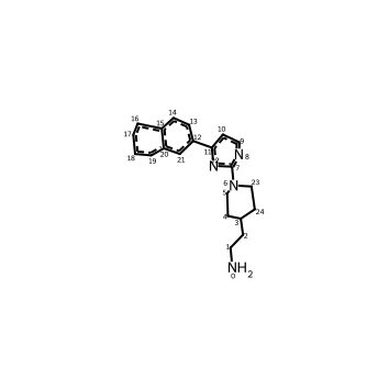 NCCC1CCN(c2nccc(-c3ccc4ccccc4c3)n2)CC1